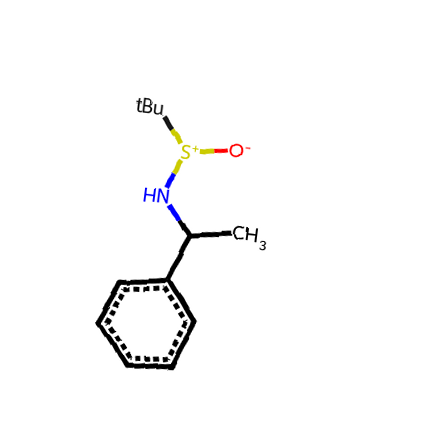 CC(N[S+]([O-])C(C)(C)C)c1ccccc1